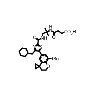 CC(C)(CNC(=O)c1nc(CC2CCCCC2)c(-c2cc(C(C)(C)C)c3c(c2)C2(CCO3)CC2)s1)NC(=O)CCC(=O)O